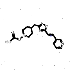 CC(C)(C)C(=O)ON1CCC(Cc2noc(/C=C/c3cccnc3)n2)CC1